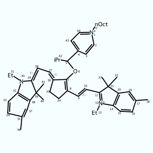 CCCCCCCC[n+]1ccc(C(OC2=C(/C=C/C3=[N+](CC)c4ccc(C)cc4C3(C)C)CC/C2=C\C=C2\N(CC)c3ccc(C)cc3C2(C)C)C(C)C)cc1